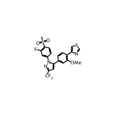 COc1cc(-c2cc(C(F)(F)F)nn2-c2ccc(S(C)(=O)=O)c(F)c2)ccc1-c1cscn1